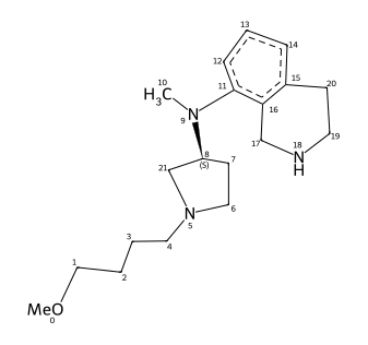 COCCCCN1CC[C@H](N(C)c2cccc3c2CNCC3)C1